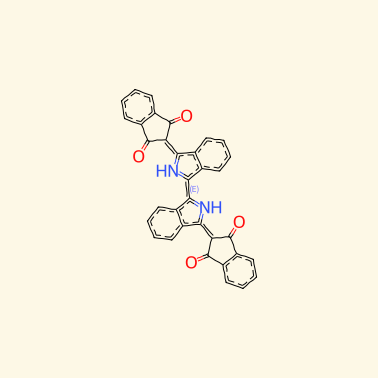 O=C1C(=c2[nH]/c(=c3/[nH]c(=C4C(=O)c5ccccc5C4=O)c4ccccc34)c3ccccc23)C(=O)c2ccccc21